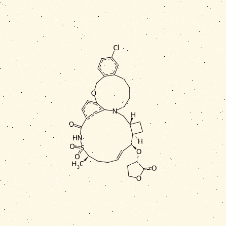 C[C@@H]1CC/C=C/[C@H](O[C@H]2CCOC2=O)[C@@H]2CC[C@H]2CN2CCCCc3cc(Cl)ccc3COc3ccc(cc32)C(=O)NS1(=O)=O